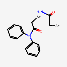 CC(=O)CC(=O)N(c1ccccc1)c1ccccc1.CC(=O)CC(N)=O